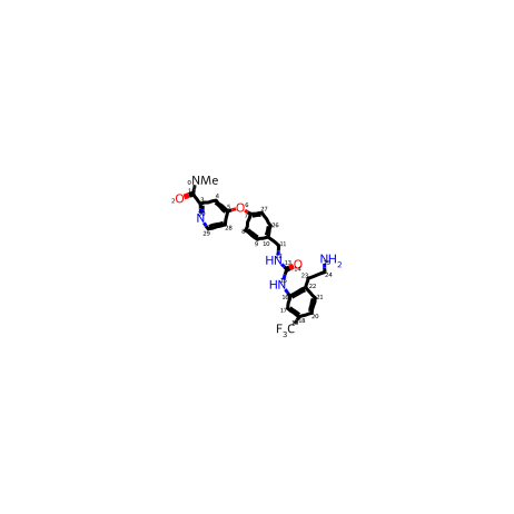 CNC(=O)c1cc(Oc2ccc(CNC(=O)Nc3cc(C(F)(F)F)ccc3CCN)cc2)ccn1